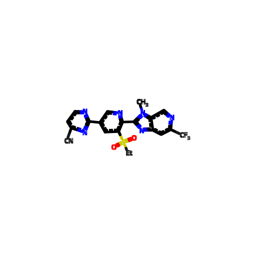 CCS(=O)(=O)c1cc(-c2nccc(C#N)n2)cnc1-c1nc2cc(C(F)(F)F)ncc2n1C